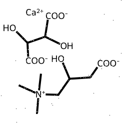 C[N+](C)(C)CC(O)CC(=O)[O-].O=C([O-])C(O)C(O)C(=O)[O-].[Ca+2]